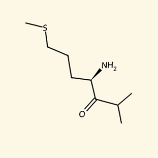 CSCCC[C@@H](N)C(=O)C(C)C